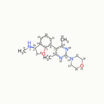 CN[C@@H]1COc2c(-c3c(C)nc(N4CCOCC4)nc3C)cccc21